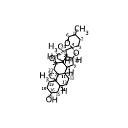 CC1CC[C@@]2(OC1)O[C@H]1C[C@H]3[C@@H]4CC[C@H]5C[C@@H](O)CC[C@]5(C)C4CC(=O)[C@]3(C)C1[C@@H]2C